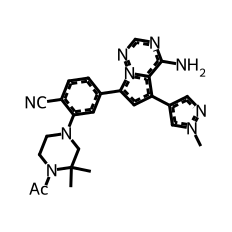 CC(=O)N1CCN(c2cc(-c3cc(-c4cnn(C)c4)c4c(N)ncnn34)ccc2C#N)CC1(C)C